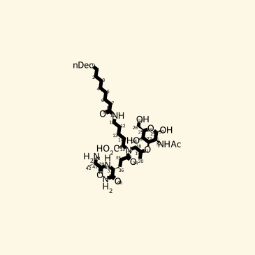 CCCCCCCCCCCCCCCCCC(=O)NCCCC[C@@H](C(=O)O)N(CC(C)O[C@H]1[C@H](O)[C@@H](CO)O[C@H](O)[C@@H]1NC(C)=O)C(=O)CC[C@@H](NC(=O)[C@H](C)N)C(N)=O